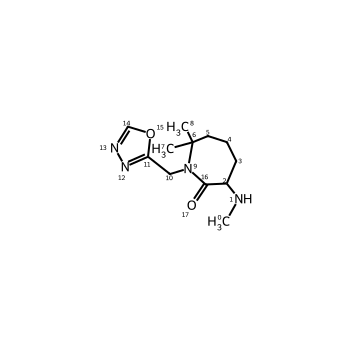 CNC1CCCC(C)(C)N(Cc2nnco2)C1=O